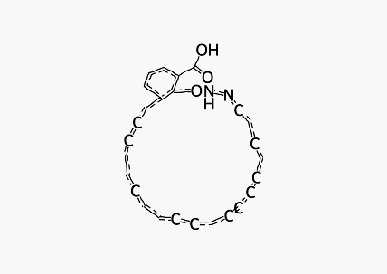 O=C(O)c1cccc2cccccccccccccccccccn[nH]oc12